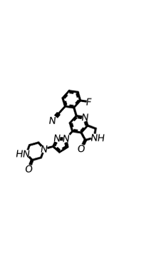 N#Cc1cccc(F)c1-c1cc(-n2ccc(N3CCNC(=O)C3)n2)c2c(n1)CNC2=O